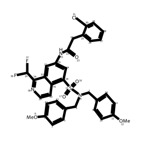 COc1ccc(CN(Cc2ccc(OC)cc2)S(=O)(=O)c2cc(NC(=O)Cc3ccccc3Cl)cc3c(C(F)F)nccc23)cc1